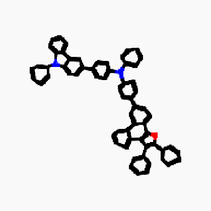 c1ccc(-c2oc3c4ccc(-c5ccc(N(c6ccccc6)c6ccc(-c7ccc8c(c7)c7ccccc7n8-c7ccccc7)cc6)cc5)cc4c4ccccc4c3c2-c2ccccc2)cc1